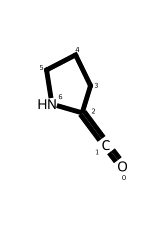 O=C=C1CCCN1